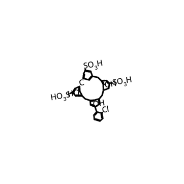 O=S(=O)(O)C1=CC2=C(O)C(C1)Cc1cc(-c3ccccc3Cl)cc(c1O)Cc1cc(S(=O)(=O)O)cc(c1O)Cc1cc(cc(S(=O)(=O)O)c1)C2